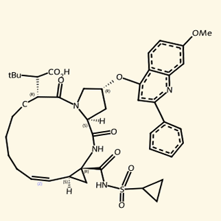 COc1ccc2c(O[C@@H]3C[C@H]4C(=O)N[C@]5(C(=O)NS(=O)(=O)C6CC6)C[C@H]5/C=C\CCCCC[C@H](C(C(=O)O)C(C)(C)C)C(=O)N4C3)cc(-c3ccccc3)nc2c1